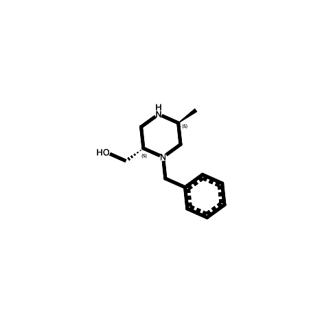 C[C@H]1CN(Cc2ccccc2)[C@H](CO)CN1